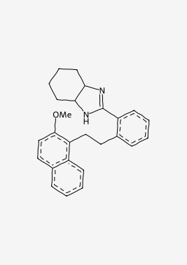 COc1ccc2ccccc2c1CCc1ccccc1C1=NC2CCCCC2N1